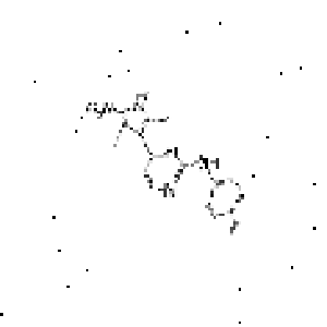 Cc1[nH]c([N+](=O)[O-])c(C)c1-c1ccnc(Nc2ccc(F)cc2)n1